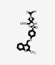 Cc1cc(COc2ccc(S(=O)(=O)NC3(CC=O)CN(C(=O)C(C)C)C3)cc2)c2ccccc2n1